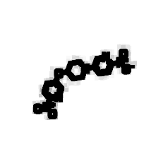 O=[N+]([O-])c1ccc(OC2CCN(c3ccc([N+](=O)[O-])nc3)CC2)cn1